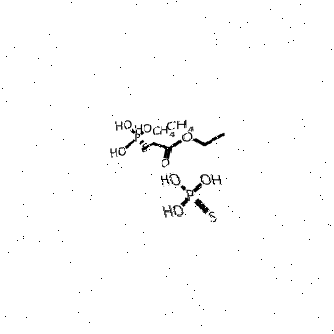 C.C.CCOC(=O)CC.OP(O)(O)=S.OP(O)(O)=S